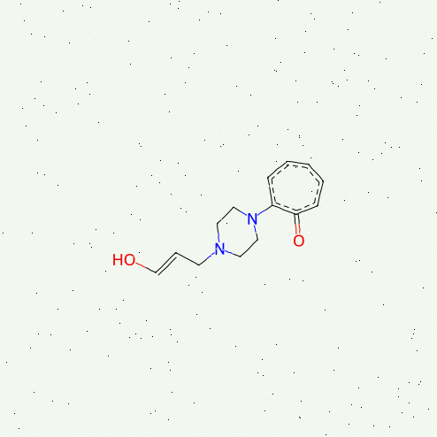 O=c1cccccc1N1CCN(CC=CO)CC1